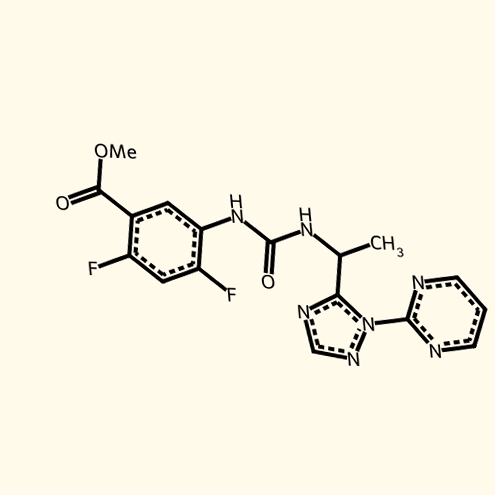 COC(=O)c1cc(NC(=O)NC(C)c2ncnn2-c2ncccn2)c(F)cc1F